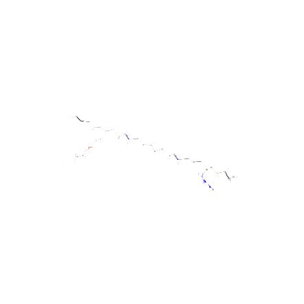 CC=CCCCC(CC/C=C/CCCCCC/C=C/CCCC(CCC=CC)N=[N+]=[N-])OCCOCCO